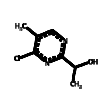 Cc1cnc(C(C)O)nc1Cl